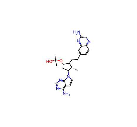 C[C@H]1[C@H](CCc2ccc3ncc(N)nc3c2)[C@@H](OC(C)(C)O)C[C@@H]1n1ccc2c(N)ncnc21